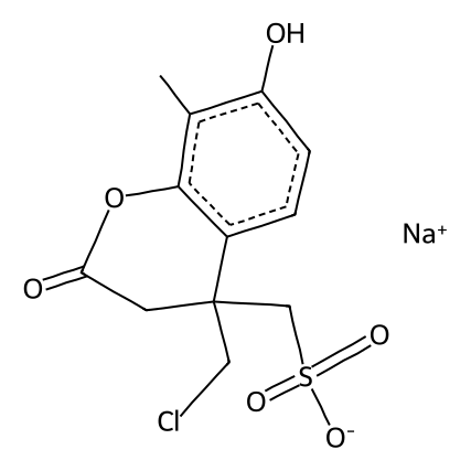 Cc1c(O)ccc2c1OC(=O)CC2(CCl)CS(=O)(=O)[O-].[Na+]